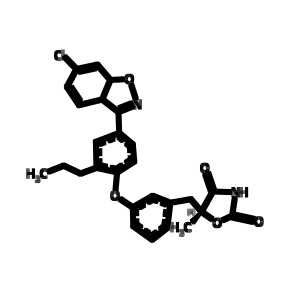 CCCc1cc(C2=NOC3C=C(Cl)C=CC23)ccc1Oc1cccc(C[C@@]2(C)OC(=O)NC2=O)c1